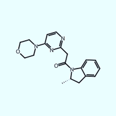 C[C@H]1Cc2ccccc2N1C(=O)Cc1nccc(N2CCOCC2)n1